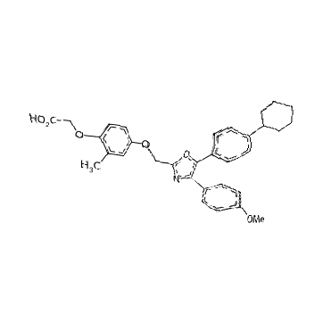 COc1ccc(-c2nc(COc3ccc(OCC(=O)O)c(C)c3)oc2-c2ccc(C3CCCCC3)cc2)cc1